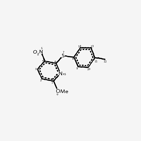 COc1ccc([N+](=O)[O-])c(Sc2ccc(C)cc2)n1